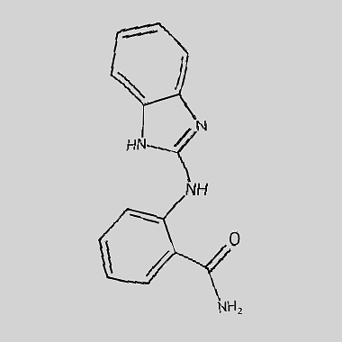 NC(=O)c1ccccc1Nc1nc2ccccc2[nH]1